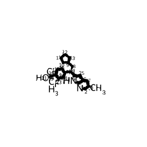 Cc1cnc2[nH]c([C@H](CC3CCCC3)c3ccc(C(C)(C)O)c(F)c3)cc2c1